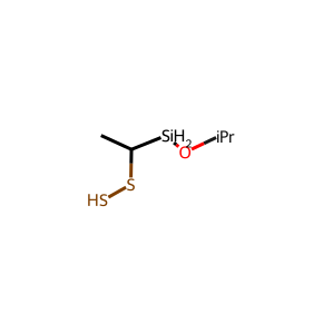 CC(C)O[SiH2]C(C)SS